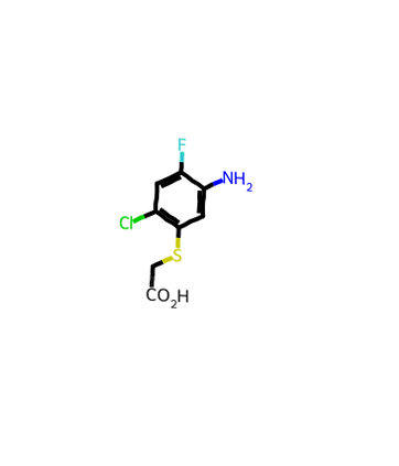 Nc1cc(SCC(=O)O)c(Cl)cc1F